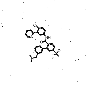 CN(C)Cc1cccc(-c2cc(S(C)(=O)=O)ccc2C(=O)Nc2ccc(Cl)c(-c3ccccn3)c2)c1